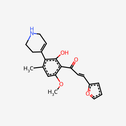 COc1cc(C)c(C2=CCNCC2)c(O)c1C(=O)/C=C/c1ccco1